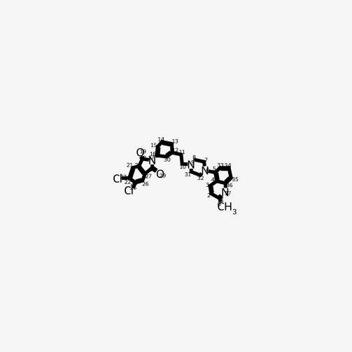 Cc1ccc2c(N3CCN(CCc4cccc(N5C(=O)c6cc(Cl)c(Cl)cc6C5=O)c4)CC3)cccc2n1